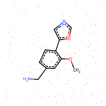 COc1cc(CN)ccc1-c1cnco1